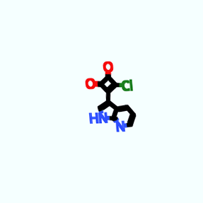 O=c1c(Cl)c(-c2c[nH]c3ncccc23)c1=O